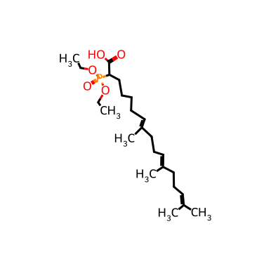 CCOP(=O)(OCC)C(CCCC/C=C(\C)CC/C=C(\C)CCC=C(C)C)C(=O)O